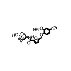 CCCc1ccc(OCc2ccc(C(=O)N[C@H](CC(=O)O)C[N+](C)(C)C)o2)c(OC)c1